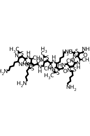 CC(=O)NC(CCCCN)c1nc(C)sc1C(=O)NC(C)c1nc(CCCCN)sc1C(=O)NC(C)c1nc(C)sc1C(=O)NC(CCCCN)c1nc(C)sc1C(=O)NC(C)c1nc(CCCCN)sc1C(=O)NC(C)c1nc(C)sc1C(N)=O